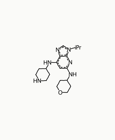 CC(C)n1cnc2c(NC3CCNCC3)cc(NC3CCOCC3)nc21